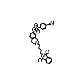 N#Cc1ccc(S(=O)(=O)Oc2ccc3c(c2)CN(CCCCN2C(=O)c4ccccc4C2=O)CC3)cc1